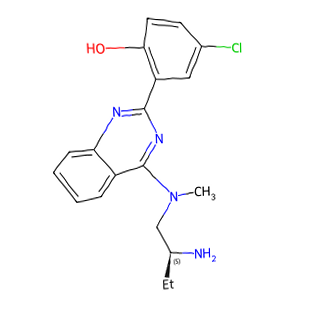 CC[C@H](N)CN(C)c1nc(-c2cc(Cl)ccc2O)nc2ccccc12